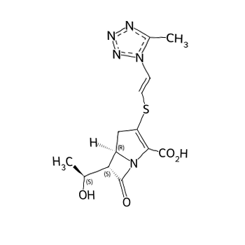 Cc1nnnn1C=CSC1=C(C(=O)O)N2C(=O)[C@H]([C@H](C)O)[C@H]2C1